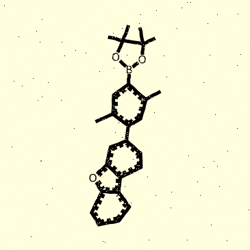 Cc1cc(-c2ccc3c(c2)oc2ccccc23)c(C)cc1B1OC(C)(C)C(C)(C)O1